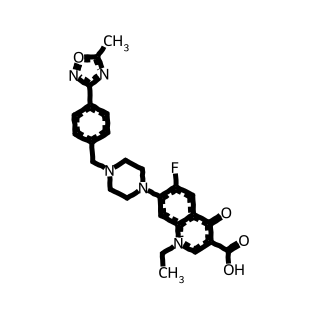 CCn1cc(C(=O)O)c(=O)c2cc(F)c(N3CCN(Cc4ccc(-c5noc(C)n5)cc4)CC3)cc21